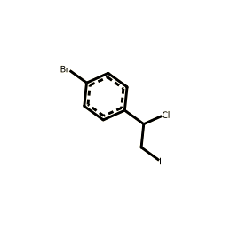 ClC(CI)c1ccc(Br)cc1